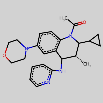 CC(=O)N1c2ccc(N3CCOCC3)cc2C(Nc2ccccn2)[C@@H](C)C1C1CC1